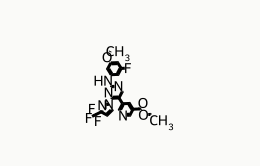 CCOC(=O)c1cncc(-c2cnc(Nc3cc(F)cc(OC)c3)nc2-n2ccc(C(F)(F)F)n2)c1